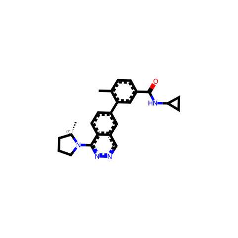 Cc1ccc(C(=O)NC2CC2)cc1-c1ccc2c(N3CCC[C@@H]3C)nncc2c1